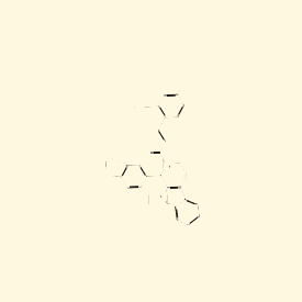 O=C(/C=C/c1ccc(Cl)cc1Cl)N1CCc2c([nH]c3ccccc23)C1c1ccc2c(c1)OCO2